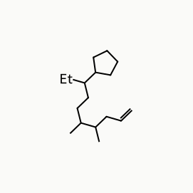 C=CCC(C)C(C)CCC(CC)C1CCCC1